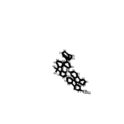 CC(C)(C)c1ccc2c(c1)C1(c3ccccc3-c3ccc(N(c4ccc(C56CC7CC(CC(C7)C5)C6)cc4)c4cccc5c4-c4ccccc4C5(C)C)cc31)c1ccccc1-2